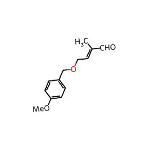 COc1ccc(COCC=C(C)C=O)cc1